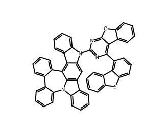 c1ccc2c(c1)-c1ccccc1-n1c3ccccc3c3cc4c(c-2c31)c1ccccc1n4-c1nc(-c2cccc3sc4ccccc4c23)c2c(n1)oc1ccccc12